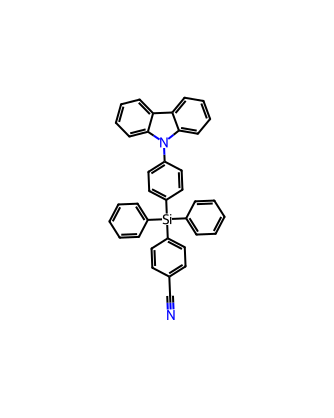 N#Cc1ccc([Si](c2ccccc2)(c2ccccc2)c2ccc(-n3c4ccccc4c4ccccc43)cc2)cc1